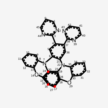 c1cnc(-c2cc(N3c4ccccc4Oc4ccccc43)c(N3c4ccccc4Oc4ccccc43)cc2-c2ncccn2)nc1